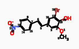 COc1cc(C=Cc2ccc([N+](=O)[O-])cc2)cc(Br)c1O